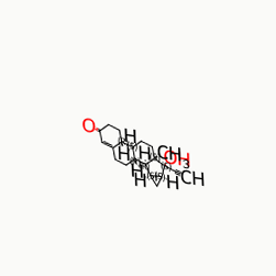 C#C[C@]1(O)[C@H]2C[C@H]2[C@H]2[C@@H]3CCC4=CC(=O)CC[C@@H]4[C@H]3CC[C@@]21C